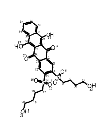 O=C1c2cc(S(=O)(=O)CCCCO)c(S(=O)(=O)CCCCO)cc2C(=O)c2c1c(O)c1ccccc1c2O